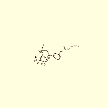 CCOC(=O)/C=C/c1cccc(C2=Nc3cc(C)c(C(F)(F)F)cc3NC(=O)C2)c1